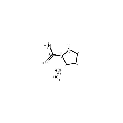 Cl.NC(=O)[C@@H]1CCCN1.S